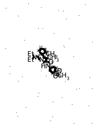 CCN(CC)CCn1cc(C(=O)Nc2ccc(S(C)(=O)=O)cc2)c(C)c1-c1ccccc1C